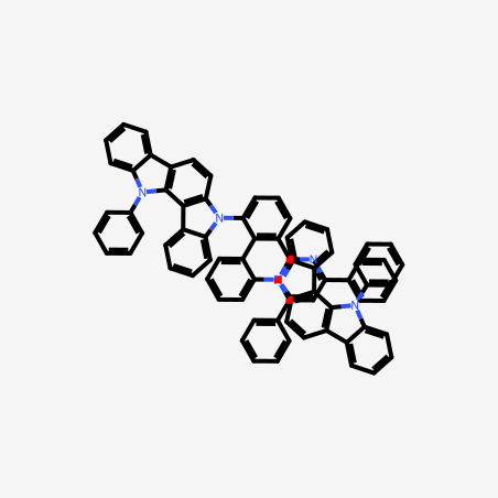 c1ccc(-c2cc(-c3ccccc3)nc(-c3cccc(-n4c5ccccc5c5c4ccc4c6ccccc6n(-c6ccccc6)c45)c3-c3ccccc3-n3c4ccccc4c4c3ccc3c5ccccc5n(-c5ccccc5)c34)n2)cc1